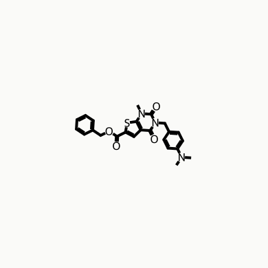 CN(C)c1ccc(Cn2c(=O)c3cc(C(=O)OCc4ccccc4)sc3n(C)c2=O)cc1